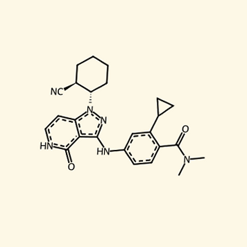 CN(C)C(=O)c1ccc(Nc2nn([C@H]3CCCC[C@@H]3C#N)c3cc[nH]c(=O)c23)cc1C1CC1